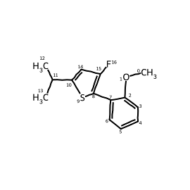 COc1ccccc1-c1sc(C(C)C)cc1F